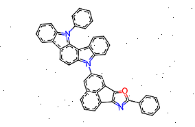 c1ccc(-c2nc3c(o2)-c2cc(-n4c5ccccc5c5c4ccc4c6ccccc6n(-c6ccccc6)c45)cc4cccc-3c24)cc1